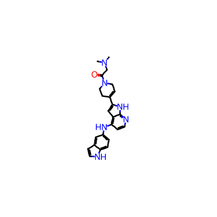 CN(C)CC(=O)N1CC=C(c2cc3c(Nc4ccc5[nH]ccc5c4)ccnc3[nH]2)CC1